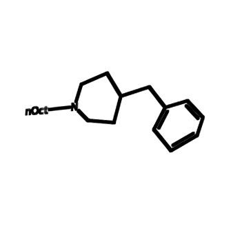 [CH2]CCCCCCCN1CCC(Cc2ccccc2)CC1